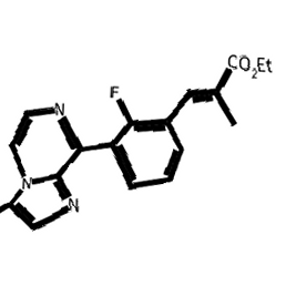 CCOC(=O)/C(C)=C/c1cccc(-c2nccn3c(C)cnc23)c1F